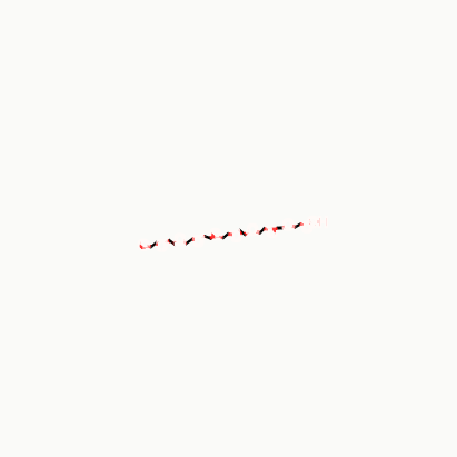 COCCOCCOCCOCCOCCOCCOCCOCCOCCOO